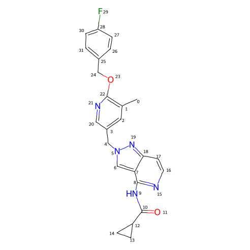 Cc1cc(Cn2cc3c(NC(=O)C4CC4)nccc3n2)cnc1OCc1ccc(F)cc1